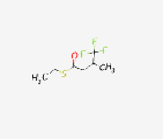 CCSC(=O)CC(C)C(F)(F)F